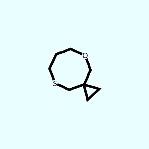 C1COCC2(CC2)CSC1